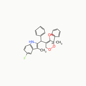 Cc1c(C(C2=C(O)[C@@](C)(c3ccccc3)OOC2)c2ccccc2)[nH]c2ccc(F)cc12